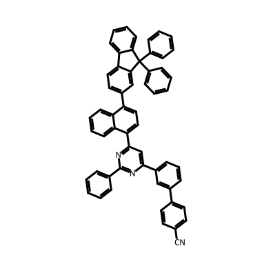 N#Cc1ccc(-c2cccc(-c3cc(-c4ccc(-c5ccc6c(c5)C(c5ccccc5)(c5ccccc5)c5ccccc5-6)c5ccccc45)nc(-c4ccccc4)n3)c2)cc1